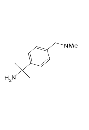 CNCc1ccc(C(C)(C)N)cc1